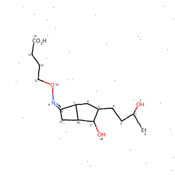 CCC(O)CCC1CC2C(=NOCCCC(=O)O)CC2C1O